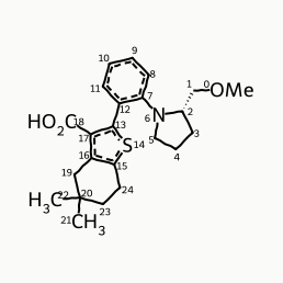 COC[C@@H]1CCCN1c1ccccc1-c1sc2c(c1C(=O)O)CC(C)(C)CC2